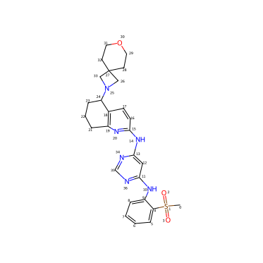 CS(=O)(=O)c1ccccc1Nc1cc(Nc2ccc3c(n2)CCCC3N2CC3(CCOCC3)C2)ncn1